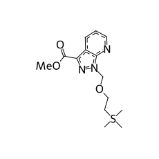 COC(=O)c1nn(COCCS(C)(C)C)c2ncccc12